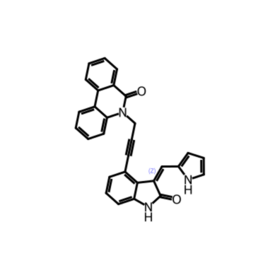 O=C1Nc2cccc(C#CCn3c(=O)c4ccccc4c4ccccc43)c2/C1=C/c1ccc[nH]1